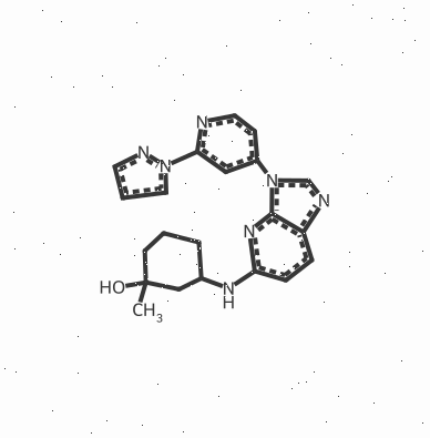 CC1(O)CCCC(Nc2ccc3ncn(-c4ccnc(-n5cccn5)c4)c3n2)C1